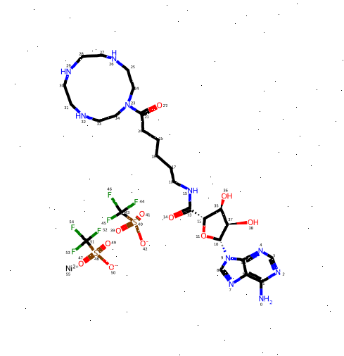 Nc1ncnc2c1ncn2[C@@H]1O[C@H](C(=O)NCCCCCC(=O)N2CCNCCNCCNCC2)[C@@H](O)[C@H]1O.O=S(=O)([O-])C(F)(F)F.O=S(=O)([O-])C(F)(F)F.[Ni+2]